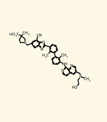 Cc1c(Nc2nccc3cc(CN(C)CCO)cnc23)cccc1-c1cccc(-c2nc3cc(CN4CCC(C)(C(=O)O)C4)cc(C#N)c3o2)c1C